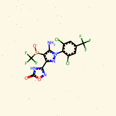 Nc1c([S+]([O-])C(F)(F)F)c(-c2noc(=O)[nH]2)nn1-c1c(Cl)cc(C(F)(F)F)cc1Cl